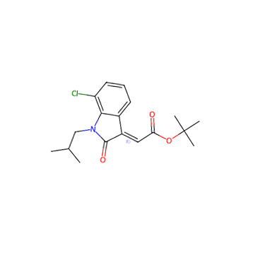 CC(C)CN1C(=O)/C(=C/C(=O)OC(C)(C)C)c2cccc(Cl)c21